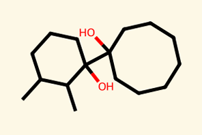 CC1CCCC(O)(C2(O)CCCCCCC2)C1C